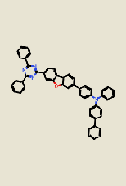 c1ccc(-c2ccc(N(c3ccccc3)c3ccc(-c4ccc5c(c4)oc4cc(-c6nc(-c7ccccc7)nc(-c7ccccc7)n6)ccc45)cc3)cc2)cc1